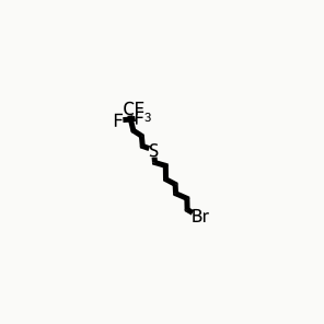 FC(F)(F)C(F)(F)CCCSCCCCCCCBr